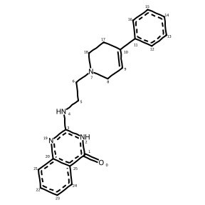 O=c1[nH]c(NCCN2CC=C(c3ccccc3)CC2)nc2ccccc12